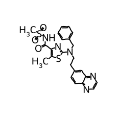 Cc1sc(N(CCc2ccc3nccnc3c2)Cc2ccccc2)nc1C(=O)NS(C)(=O)=O